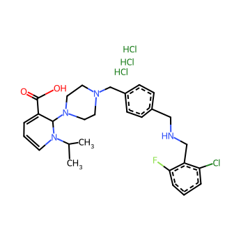 CC(C)N1C=CC=C(C(=O)O)C1N1CCN(Cc2ccc(CNCc3c(F)cccc3Cl)cc2)CC1.Cl.Cl.Cl